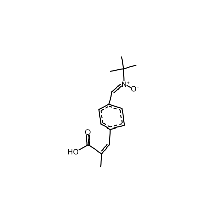 CC(=Cc1ccc(C=[N+]([O-])C(C)(C)C)cc1)C(=O)O